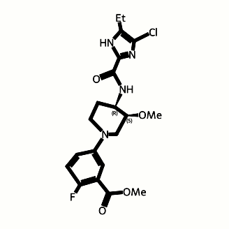 CCc1[nH]c(C(=O)N[C@@H]2CCN(c3ccc(F)c(C(=O)OC)c3)C[C@@H]2OC)nc1Cl